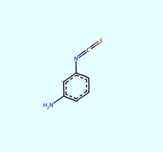 Nc1[c]c(N=C=S)ccc1